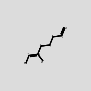 C=CCCC/C(C)=C/C